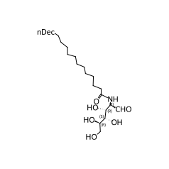 CCCCCCCCCCCCCCCCCCCCCC(=O)N[C@@H](C=O)[C@@H](O)[C@H](O)[C@H](O)CO